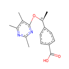 Cc1nc(C)c(C)c(O[C@@H](C)c2ccc(C(=O)O)cc2)n1